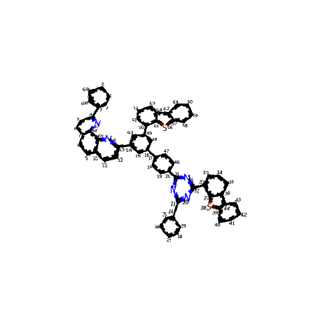 c1ccc(-c2ccc3ccc4ccc(-c5cc(-c6ccc(-c7nc(-c8ccccc8)nc(-c8cccc9c8sc8ccccc89)n7)cc6)cc(-c6cccc7c6sc6ccccc67)c5)nc4c3n2)cc1